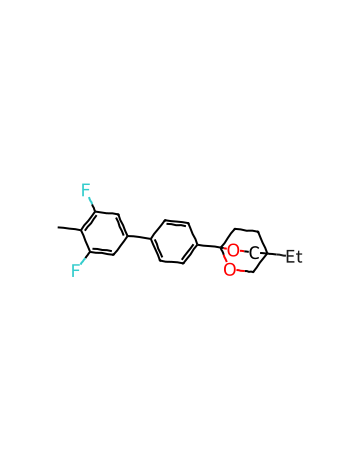 CCC12CCC(c3ccc(-c4cc(F)c(C)c(F)c4)cc3)(OC1)OC2